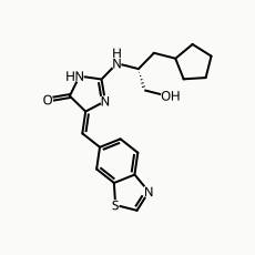 O=C1NC(N[C@@H](CO)CC2CCCC2)=N/C1=C\c1ccc2ncsc2c1